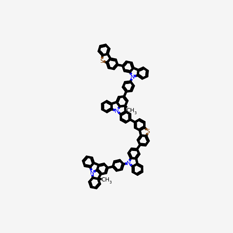 CC12C=C(c3ccc(-n4c5ccccc5c5ccc(-c6ccc7sc8ccccc8c7c6)cc54)cc3)C=C3c4ccccc4N(c4ccc(-c5ccc6sc7ccc(-c8ccc9c(c8)c8ccccc8n9-c8ccc(-c9cc%10c%11c(c9)c9ccccc9n%11C9C=CC=CC%109C)cc8)cc7c6c5)cc41)C32